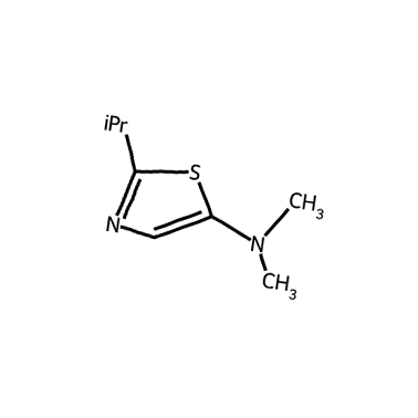 CC(C)c1ncc(N(C)C)s1